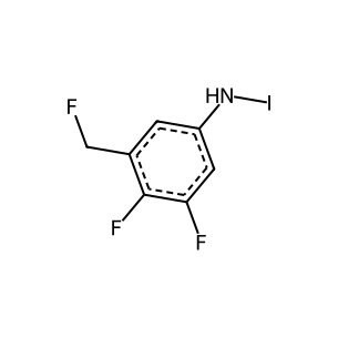 FCc1cc(NI)cc(F)c1F